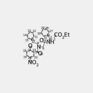 CCOC(=O)C[C@H](NC(=O)CN1CC(c2ccccc2)Oc2ccc([N+](=O)[O-])cc2C1=O)c1ccccc1